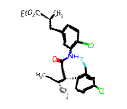 CCOC(=O)[C@@H](C)Cc1ccc(Cl)c(NC(=O)[C@H](C2CC=C(Cl)C=C2F)[C@@H](C)C(F)(F)F)c1